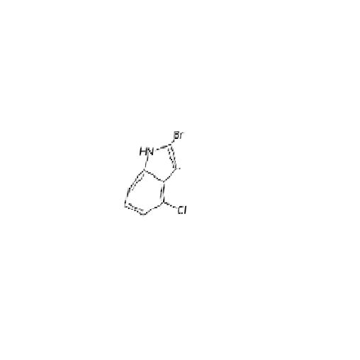 Clc1cccc2[nH]c(Br)[c]c12